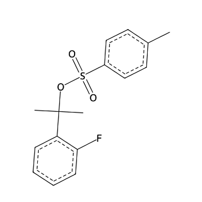 Cc1ccc(S(=O)(=O)OC(C)(C)c2ccccc2F)cc1